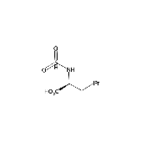 CC(C)C[C@H](N[SH](=O)=O)C(=O)O